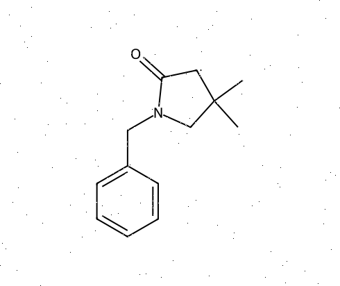 CC1(C)[CH]C(=O)N(Cc2ccccc2)C1